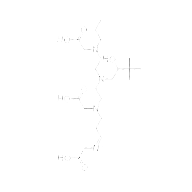 CCCN(CCN(CCN(CC/C=N\CC(=O)O)CC(=O)O)CC(O)C(C)(C)C)CC(=O)O